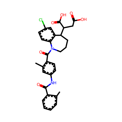 Cc1ccccc1C(=O)Nc1ccc(C(=O)N2CCCC(C(CC(=O)O)C(=O)O)c3cc(Cl)ccc32)c(C)c1